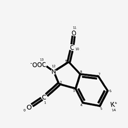 O=C=c1c2ccccc2c(=C=O)n1C(=O)[O-].[K+]